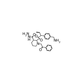 C=CC(c1ccc(CN)cc1)S(=O)(=O)C1C(C(=O)NN)CCCN1CC(=O)c1ccccc1